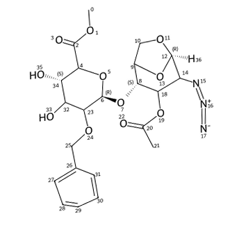 COC(=O)C1O[C@@H](O[C@@H]2C3CO[C@H](O3)C(N=[N+]=[N-])C2OC(C)=O)C(OCc2ccccc2)C(O)[C@@H]1O